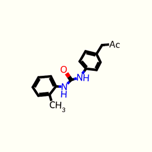 CC(=O)Cc1ccc(NC(=O)Nc2ccccc2C)cc1